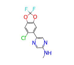 CNc1cnc(-c2cc3c(cc2Cl)OC(F)(F)O3)cn1